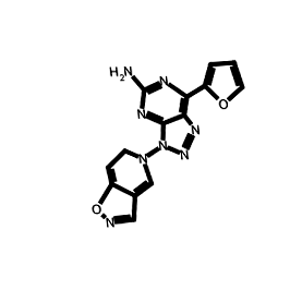 Nc1nc(-c2ccco2)c2nnn(N3C=c4cnoc4=CC3)c2n1